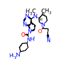 C[C@@H]1CCN(C(=O)CC#N)C[C@@H]1N(C)c1ncnc2c1ccn2C(=O)NC1CCC(N)CC1